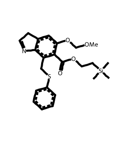 COCOc1cc2c(c(CSc3ccccc3)c1C(=O)OCC[Si](C)(C)C)N=CC2